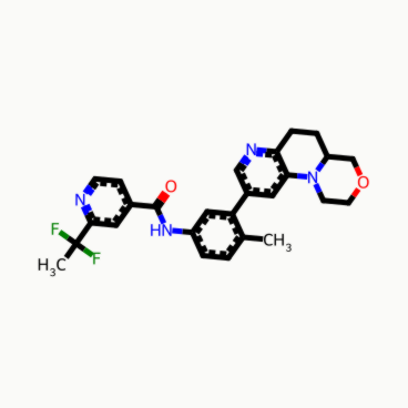 Cc1ccc(NC(=O)c2ccnc(C(C)(F)F)c2)cc1-c1cnc2c(c1)N1CCOCC1CC2